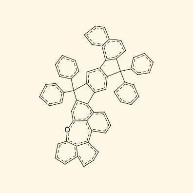 c1ccc(C2(c3ccccc3)c3cc4c(cc3-c3c2ccc2ccccc32)C(c2ccccc2)(c2ccccc2)c2cc3oc5cccc6cccc(c7cccc(c2-4)c37)c65)cc1